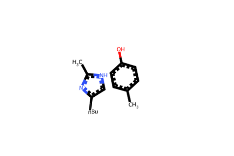 CCCCc1c[nH]c(C)n1.Cc1ccc(O)cc1